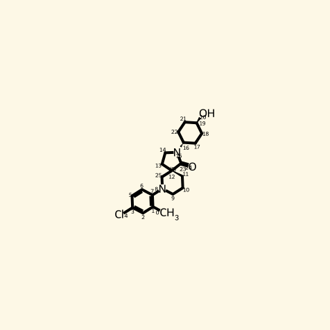 Cc1cc(Cl)ccc1N1CCC[C@]2(CCN([C@H]3CC[C@H](O)CC3)C2=O)C1